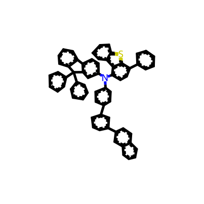 c1ccc(-c2ccc(N(c3ccc(-c4cccc(-c5ccc6ccccc6c5)c4)cc3)c3ccc4c(c3)C(c3ccccc3)(c3ccccc3)c3ccccc3-4)c3c2sc2ccccc23)cc1